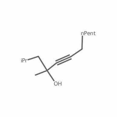 CCCCCCC#CC(C)(O)CC(C)C